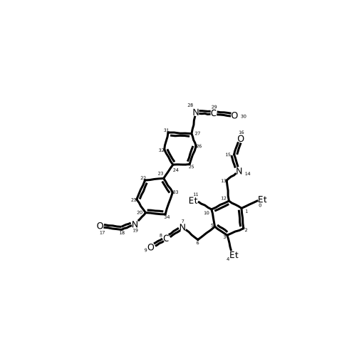 CCc1cc(CC)c(CN=C=O)c(CC)c1CN=C=O.O=C=Nc1ccc(-c2ccc(N=C=O)cc2)cc1